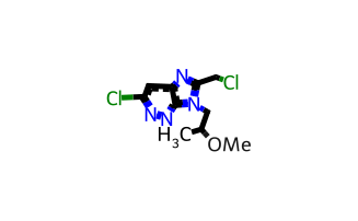 COC(C)Cn1c(CCl)nc2cc(Cl)nnc21